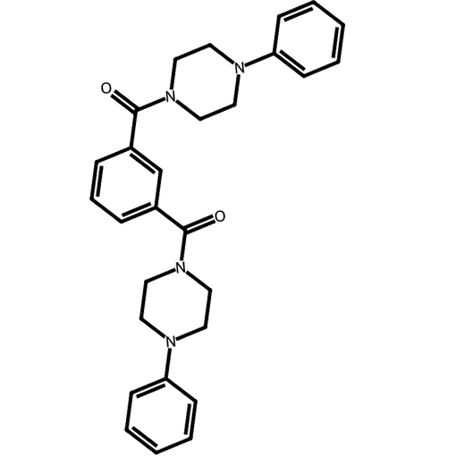 O=C(c1cccc(C(=O)N2CCN(c3ccccc3)CC2)c1)N1CCN(c2ccccc2)CC1